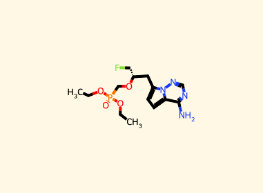 CCOP(=O)(CO[C@H](CF)Cc1ccc2c(N)ncnn12)OCC